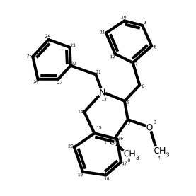 COC(OC)C(Cc1ccccc1)N(Cc1ccccc1)Cc1ccccc1